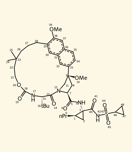 CCC[C@@H]1C[C@]1(NC(=O)[C@@H]1C[C@]2(OC)CN1C(=O)[C@H](C(C)(C)C)NC(=O)OCCC(C)(C)CCCc1cc3cc2ccc3cc1OC)C(=O)NS(=O)(=O)C1CC1